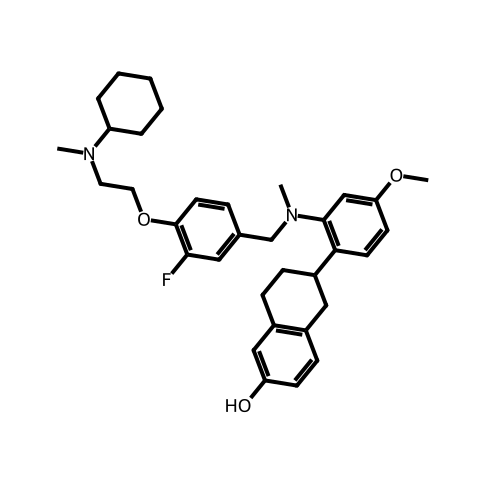 COc1ccc(C2CCc3cc(O)ccc3C2)c(N(C)Cc2ccc(OCCN(C)C3CCCCC3)c(F)c2)c1